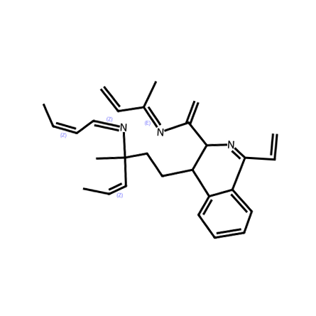 C=CC1=NC(C(=C)/N=C(\C)C=C)C(CCC(C)(/C=C\C)/N=C\C=C/C)c2ccccc21